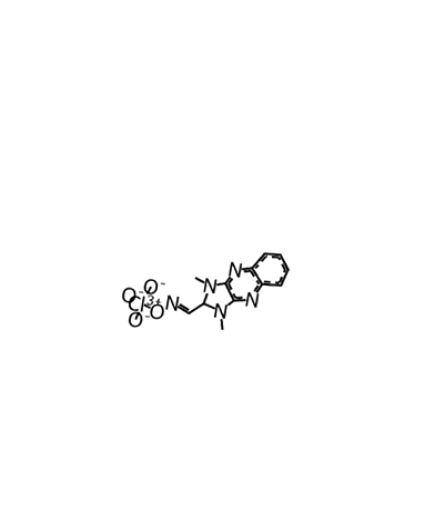 CN1c2nc3ccccc3nc2N(C)C1C=NO[Cl+3]([O-])([O-])[O-]